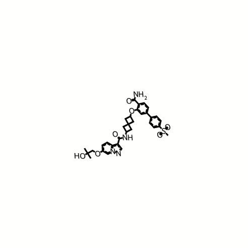 CC(C)(O)COc1ccc2c(C(=O)NC3CC4(C3)CC(Oc3cc(-c5ccc(S(C)(=O)=O)cc5)ccc3C(N)=O)C4)cnn2c1